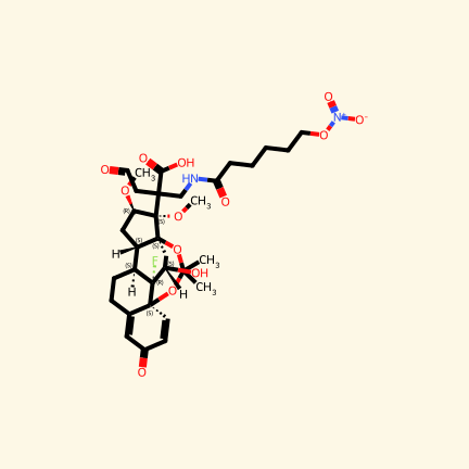 CO[C@@H]1C[C@H]2[C@@H]3CCC4=CC(=O)C=C[C@]45OC(C)(C)O[C@]2(C[C@H](O)[C@]35F)[C@]1(OC)C(CC=O)(CNC(=O)CCCCCO[N+](=O)[O-])C(=O)O